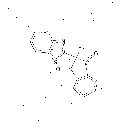 O=C1c2ccccc2C(=O)C1(Br)c1nc2ccccc2s1